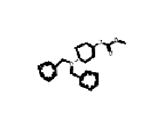 COC(=O)O[C@H]1CC[C@H](N(Cc2ccccc2)Cc2ccccc2)CC1